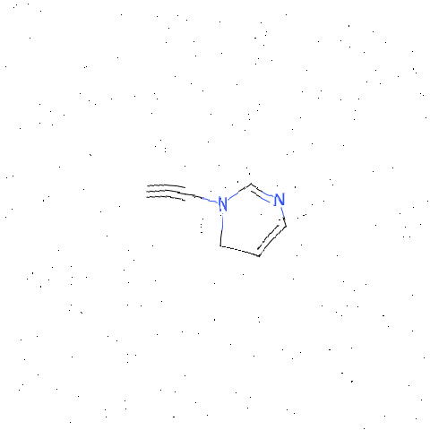 C#CN1C=NC=CC1